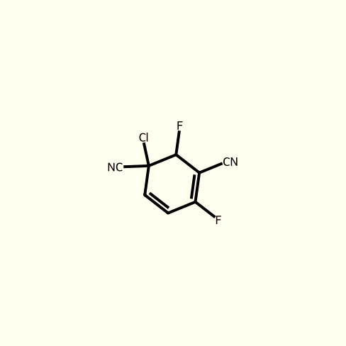 N#CC1=C(F)C=CC(Cl)(C#N)C1F